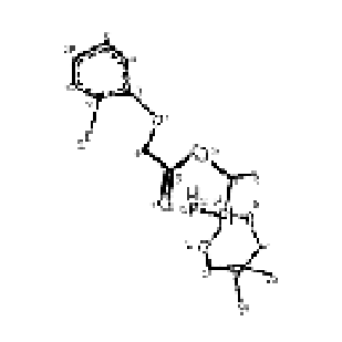 CC(OC(=O)COc1ccccc1F)[PH]1(P)OCC(C)(C)CO1